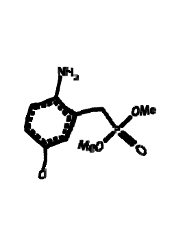 COP(=O)(Cc1cc(Cl)ccc1N)OC